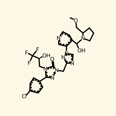 COCC1CCCN1C(O)c1ccncc1-n1cnc(Cn2nc(-c3ccc(Cl)cc3)n(C[C@H](O)C(F)(F)F)c2=O)n1